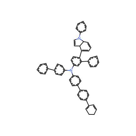 C1=CC2C(C=CN2c2ccccc2)C(c2ccc(N(c3ccc(-c4ccccc4)cc3)c3ccc(-c4ccc(C5=CCCC=C5)cc4)cc3)cc2-c2ccccc2)=C1